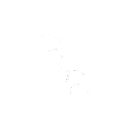 O=C(O)CC(O)CCc1ccc(O)c(O)c1